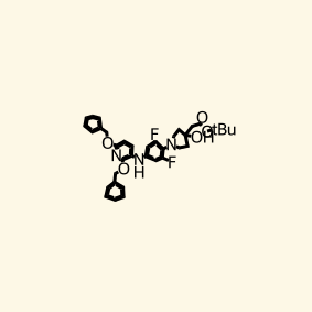 CC(C)(C)OC(=O)CC1(O)CCN(c2c(F)cc(Nc3ccc(OCc4ccccc4)nc3OCc3ccccc3)cc2F)CC1